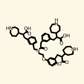 O=C(O)C(Cc1cccc(CC(=O)N(CCOc2cccc(CC(C(=O)O)C3CCCNCC3)c2)Cc2cccc(CC(C(=O)O)C3CCCNCC3)c2)c1)C1CCCNCC1